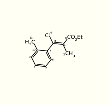 CCOC(=O)/C(C)=C(\Cl)c1ccccc1C